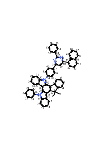 CC1(C)c2ccccc2-c2c1c1c3ccccc3n(-c3ccccc3)c1c1c3ccccc3n(-c3ccc(-c4cc(-c5cccc6ccccc56)nc(-c5ccccc5)n4)cc3)c21